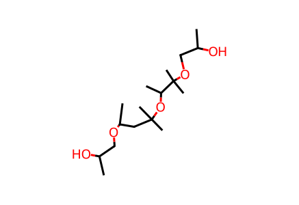 CC(O)COC(C)CC(C)(C)OC(C)C(C)(C)OCC(C)O